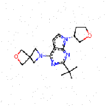 CC(C)(C)c1nc(N2CC3(COC3)C2)c2ccn([C@@H]3CCOC3)c2n1